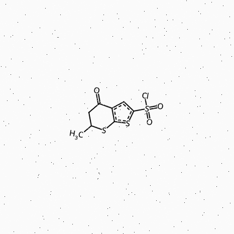 CC1CC(=O)c2cc(S(=O)(=O)Cl)sc2S1